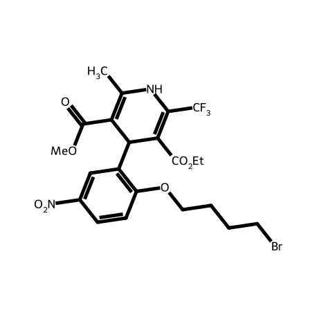 CCOC(=O)C1=C(C(F)(F)F)NC(C)=C(C(=O)OC)C1c1cc([N+](=O)[O-])ccc1OCCCCBr